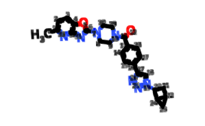 Cc1ccc2oc(N3CCN(C(=O)c4ccc(-c5cn([C@H]6CC7CC76)nn5)cc4)CC3)nc2n1